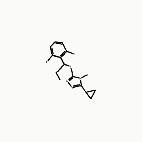 CCC(Sc1nnc(C2CC2)n1C)c1c(F)cccc1F